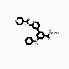 CO[AsH]C(=O)c1cc(Nc2ccccc2)cc(-c2ccnc(NC(=O)C3CCOCC3)c2)c1